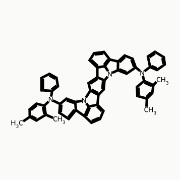 Cc1ccc(N(c2ccccc2)c2ccc3c4cccc5c6cc7c(cc6n(c3c2)c45)c2cccc3c4ccc(N(c5ccccc5)c5ccc(C)cc5C)cc4n7c32)c(C)c1